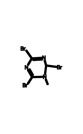 CN1C(Br)=NC(Br)=NC1Br